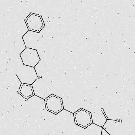 Cc1noc(-c2ccc(-c3ccc(C4(C(=O)O)CC4)cc3)cc2)c1NC1CCN(Cc2ccccc2)CC1